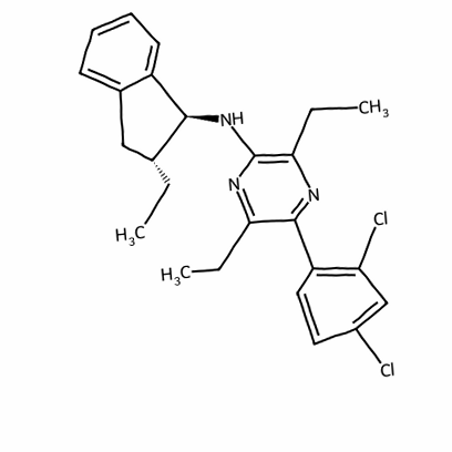 CCc1nc(-c2ccc(Cl)cc2Cl)c(CC)nc1N[C@@H]1c2ccccc2C[C@H]1CC